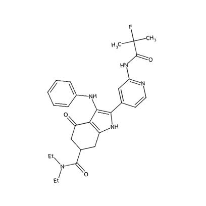 CCN(CC)C(=O)C1CC(=O)c2c([nH]c(-c3ccnc(NC(=O)C(C)(C)F)c3)c2Nc2ccccc2)C1